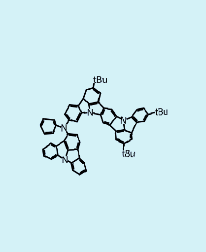 CC(C)(C)C1=Cc2c3n(c4cc5c6cc(C(C)(C)C)cc7c8cc(C(C)(C)C)ccc8n(c5cc24)c76)-c2cc(N(c4ccccc4)c4ccc5c6ccccc6n6c7ccccc7c4c56)ccc2C3C1